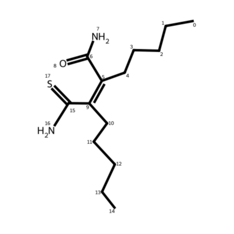 CCCCC/C(C(N)=O)=C(\CCCCC)C(N)=S